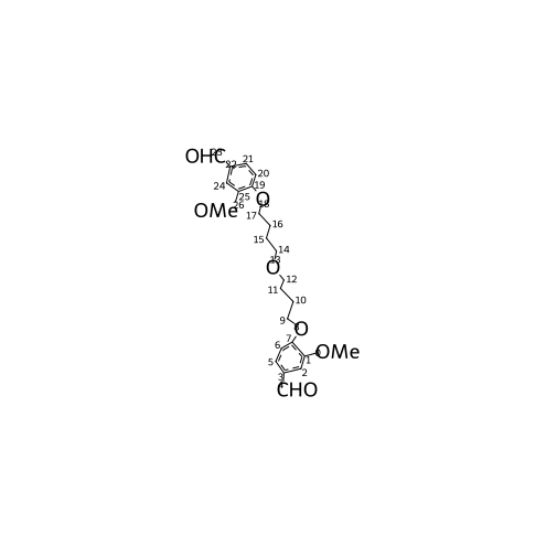 COc1cc(C=O)ccc1OCCCCOCCCCOc1ccc(C=O)cc1OC